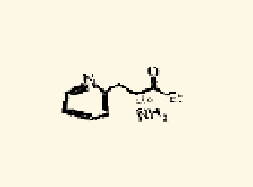 CCC(=O)[C@H](N)Cc1ccccn1